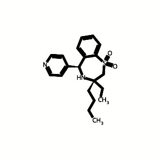 CCCC[C@]1(CC)CS(=O)(=O)c2ccccc2[C@H](c2ccncc2)N1